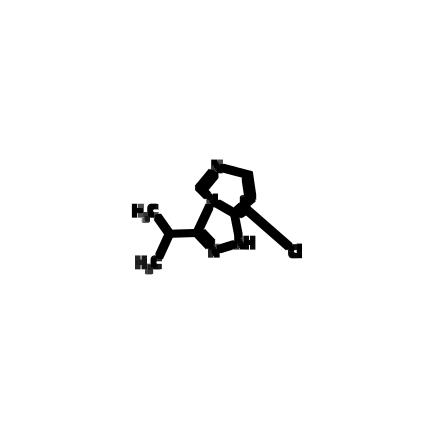 CC(C)C1=NNC23C=C(Cl)SC2=CN=CN13